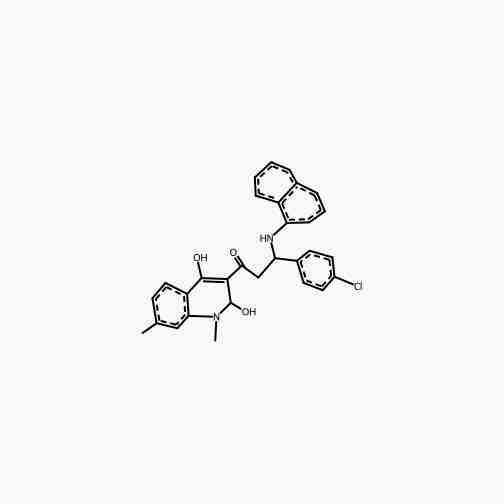 Cc1ccc2c(c1)N(C)C(O)C(C(=O)CC(Nc1cccc3ccccc13)c1ccc(Cl)cc1)=C2O